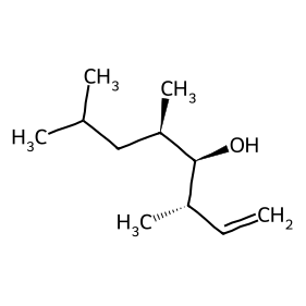 C=C[C@H](C)[C@H](O)[C@H](C)CC(C)C